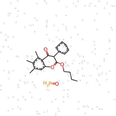 CCCCOC(=O)C(C(=O)c1c(C)cc(C)c(C)c1C)c1ccccc1.O=[PH3]